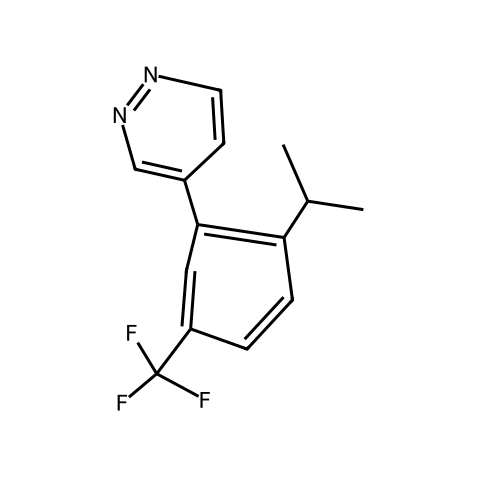 CC(C)c1ccc(C(F)(F)F)cc1-c1ccnnc1